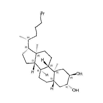 CC(C)CCC[C@@H](C)[C@H]1CC[C@H]2[C@@H]3CC[C@H]4C[C@@H](O)[C@H](O)C[C@]4(C)[C@H]3CC[C@]12C